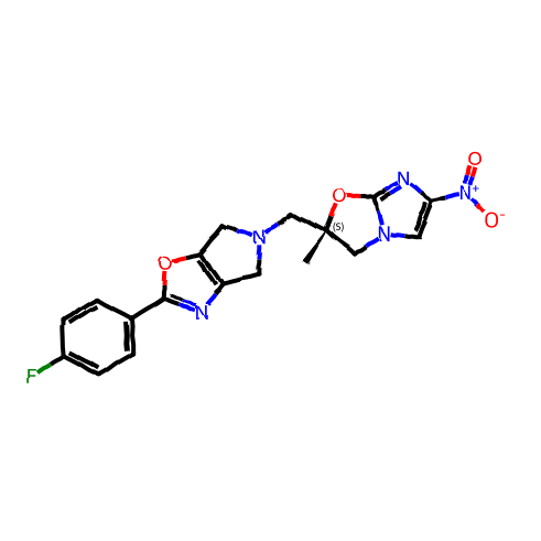 C[C@]1(CN2Cc3nc(-c4ccc(F)cc4)oc3C2)Cn2cc([N+](=O)[O-])nc2O1